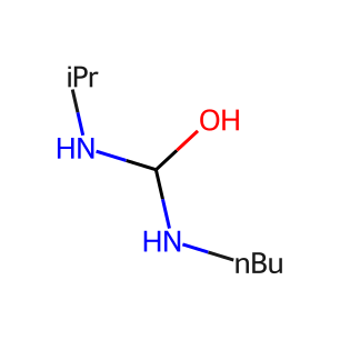 CCCCNC(O)NC(C)C